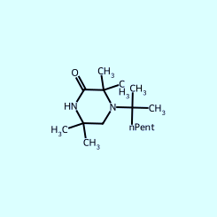 CCCCCC(C)(C)N1CC(C)(C)NC(=O)C1(C)C